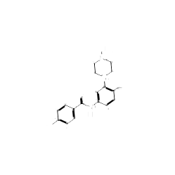 CN1CCN(c2cc(NC(=O)c3ccc(Br)cc3)ccc2O)CC1